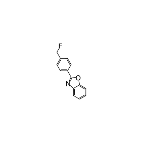 FCc1ccc(-c2nc3ccccc3o2)cc1